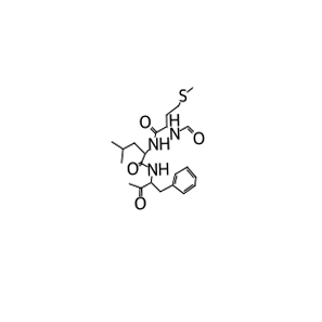 CSCCC(NC=O)C(=O)NC(CC(C)C)C(=O)NC(Cc1ccccc1)C(C)=O